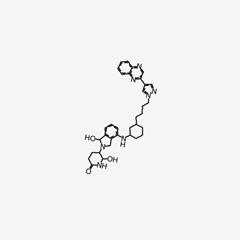 O=C1CCC(N2Cc3c(NC4CCCC(CCCCn5cc(-c6cnc7ccccc7n6)cn5)C4)cccc3C2O)C(O)N1